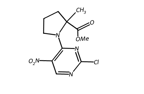 COC(=O)C1(C)CCCN1c1nc(Cl)ncc1[N+](=O)[O-]